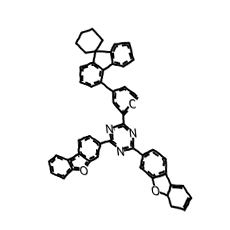 C1=CCC2Oc3cc(-c4nc(-c5cccc(-c6cccc7c6-c6ccccc6C76CCCCC6)c5)nc(-c5ccc6c(c5)oc5ccccc56)n4)ccc3C2=C1